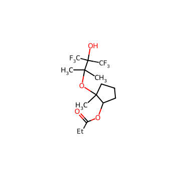 CCC(=O)OC1CCCC1(C)OC(C)(C)C(O)(C(F)(F)F)C(F)(F)F